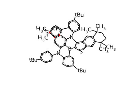 CC(C)(C)c1ccc(N2c3ccc(C(C)(C)C)cc3B3c4sc5cc6c(cc5c4N(c4ccc(C(C)(C)C)cc4-c4ccccc4)c4cc([Si](C)(C)C)cc2c43)C(C)(C)CCC6(C)C)cc1